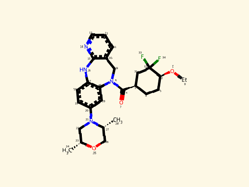 CCO[C@H]1CC[C@@H](C(=O)N2Cc3cccnc3Nc3ccc(N4C[C@@H](C)OC[C@H]4C)cc32)CC1(F)F